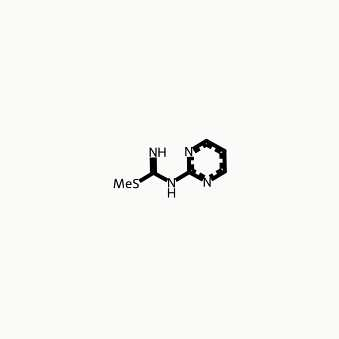 CSC(=N)Nc1ncccn1